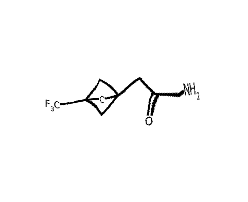 NC(=O)CC12CC(C(F)(F)F)(C1)C2